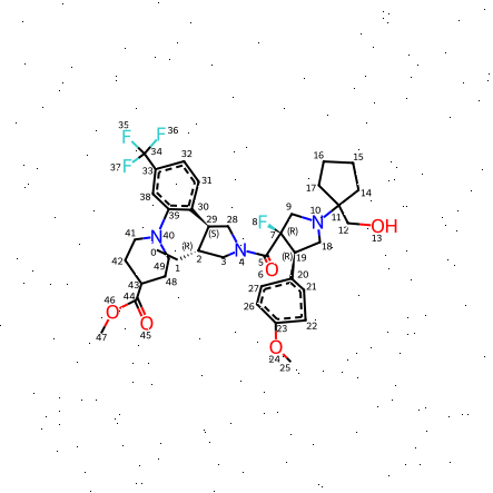 CC[C@H]1CN(C(=O)[C@]2(F)CN(C3(CO)CCCC3)C[C@H]2c2ccc(OC)cc2)C[C@@H]1c1ccc(C(F)(F)F)cc1N1CCC(C(=O)OC)CC1